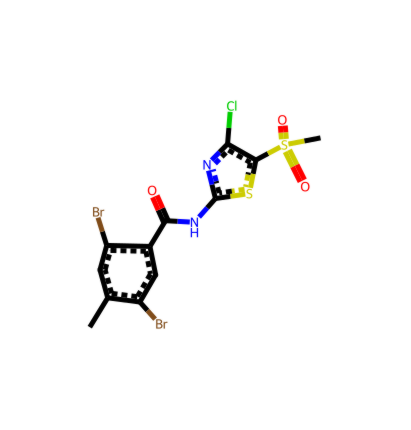 Cc1cc(Br)c(C(=O)Nc2nc(Cl)c(S(C)(=O)=O)s2)cc1Br